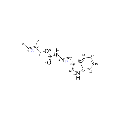 C/C=C(\C)COC(=O)N/N=C/c1c[nH]c2ccccc12